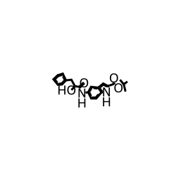 CC(C)(C)OC(=O)c1cc2cc(NC(=O)C(O)Cc3ccccc3)ccc2[nH]1